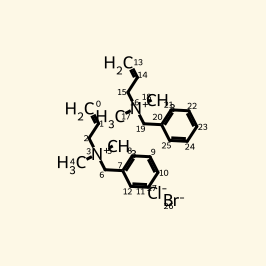 C=CC[N+](C)(C)Cc1ccccc1.C=CC[N+](C)(C)Cc1ccccc1.[Br-].[Cl-]